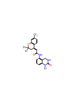 CCN1C(=O)NCc2c(NC(=O)/C=C3\CC(CC)(CC)Oc4cc(C(F)(F)F)ccc43)cccc21